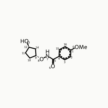 COc1ccc(C(=O)NO[C@@H]2CC[C@@H](O)C2)cc1